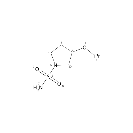 CC(C)OC1CCN(S(N)(=O)=O)C1